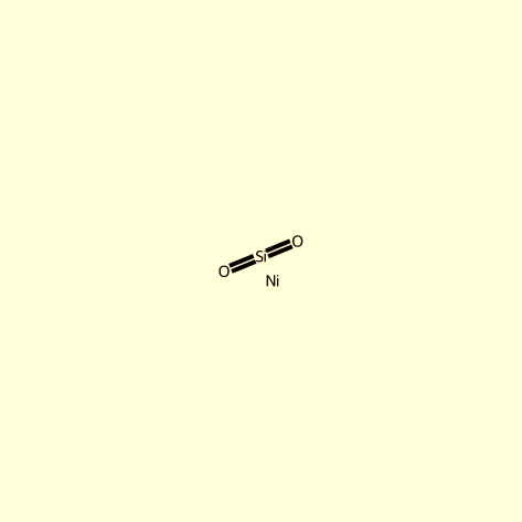 O=[Si]=O.[Ni]